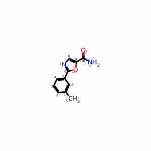 Cc1cccc(-c2ncc(C(N)=O)o2)c1